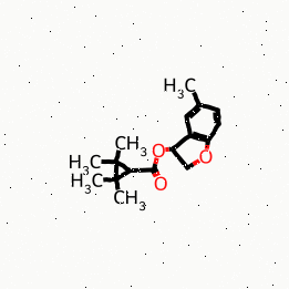 Cc1ccc2c(c1)C(OC(=O)C1C(C)(C)C1(C)C)CO2